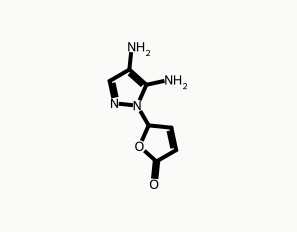 Nc1cnn(C2C=CC(=O)O2)c1N